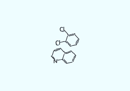 Clc1ccccc1Cl.c1ccc2ncccc2c1